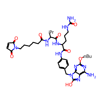 CCCCOc1nc(N)c2nc(O)n(Cc3ccc(NC(=O)C(CCCNC(N)=O)NC(=O)C(NC(=O)CCCCCN4C(=O)C=CC4=O)C(C)C)cc3)c2n1